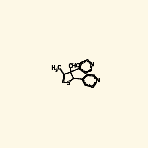 CC1=CSC(c2ccncc2)C1(C=O)c1ccncc1